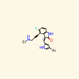 CCNCC#Cc1c(F)ccc2c1/C(=C/c1cc(C(C)=O)c[nH]1)C(=O)N2